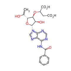 C=C(O)[C@H]1O[C@@H](n2cnc3c(NC(=O)c4ccccc4)ncnc32)[C@H](O)[C@@H]1OC(CC(=O)O)C(=O)O